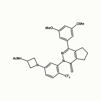 COc1cc(OC)cc(-c2nn(-c3cc(N4CC(NC(C)=O)C4)ccc3C(F)(F)F)c(=O)c3c2CCC3)c1